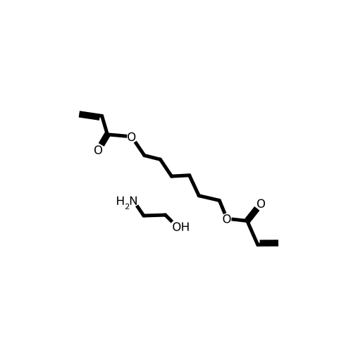 C=CC(=O)OCCCCCCOC(=O)C=C.NCCO